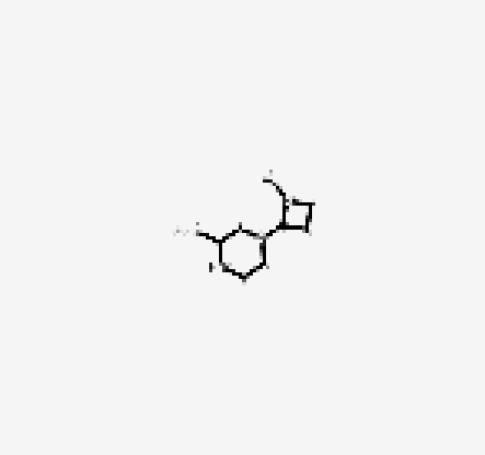 CCCCCC1CN(C2CCN2C(C)=O)CCN1